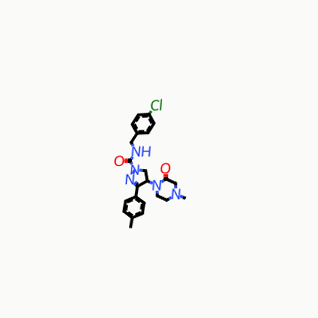 Cc1ccc(C2=NN(C(=O)NCc3ccc(Cl)cc3)CC2N2CCN(C)CC2=O)cc1